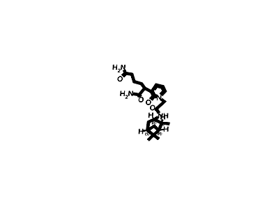 C[C@@H]1[C@H]2C[C@@H](C[C@H]1NC(=O)Cn1cccc(C(CCCC(N)=O)C(N)=O)c1=O)C2(C)C